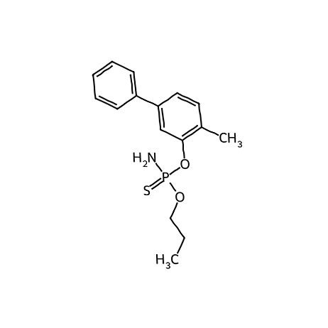 CCCOP(N)(=S)Oc1cc(-c2ccccc2)ccc1C